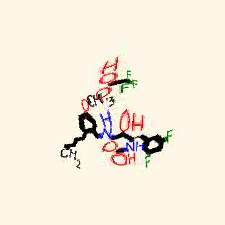 C=CCCCc1ccc(OC)cc1CNC[C@@H](O)[C@H](Cc1cc(F)cc(F)c1)NC(=O)O.O=C(O)C(F)(F)F